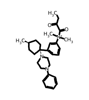 CCC(=O)C(=O)[N+](C)(C)c1cccc([C@]2(N3CCN(c4ccccc4)CC3)CC[C@H](C)CC2)c1